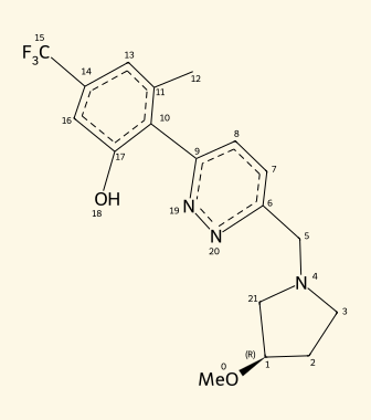 CO[C@@H]1CCN(Cc2ccc(-c3c(C)cc(C(F)(F)F)cc3O)nn2)C1